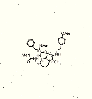 CNC(=O)NC[C@H]1CCCN([C@@H](C)C(=O)NCCc2ccc(OC)cc2)C(=O)[C@H]1NC(=O)[C@@H](Cc1ccccc1)NC